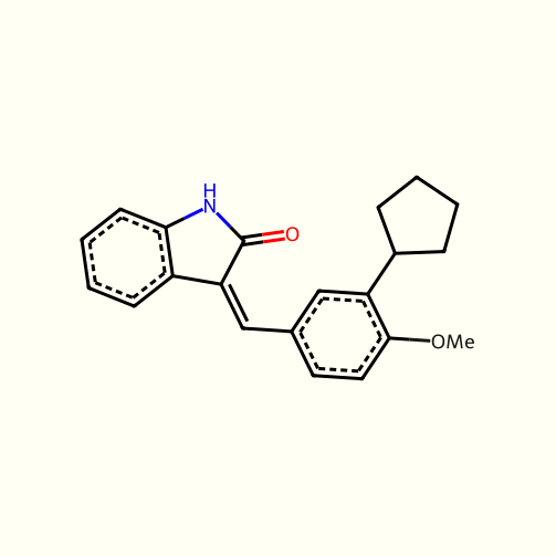 COc1ccc(C=C2C(=O)Nc3ccccc32)cc1C1CCCC1